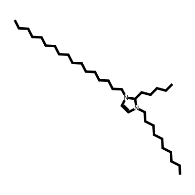 CCCCCCCCCCCCCCCCCN1C=CN(CCCCCCCCCC)C1CCCCC